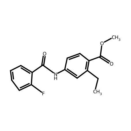 CCc1cc(NC(=O)c2ccccc2F)ccc1C(=O)OC